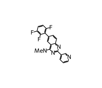 CNc1nc(-c2cccnc2)nc2ccc(-c3c(F)ccc(F)c3F)cc12